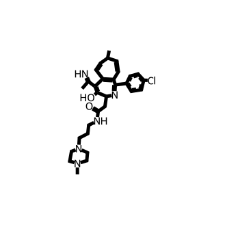 CC(=N)C1=C(O)C(CC(=O)NCCCN2CCN(C)CC2)N=C(c2ccc(Cl)cc2)C2=C1C=CC(C)C=C2